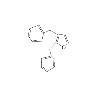 c1ccc(Cc2ccoc2Cc2ccccc2)cc1